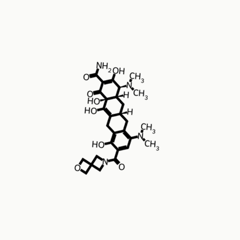 CN(C)c1cc(C(=O)N2CC3(COC3)C2)c(O)c2c1C[C@H]1C[C@H]3[C@H](N(C)C)C(O)=C(C(N)=O)C(=O)[C@@]3(O)C(O)=C1C2